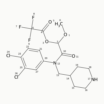 COC(OC(=O)C(F)(F)F)C(=O)N(CC1CCNCC1)c1ccc(Cl)c(Cl)c1